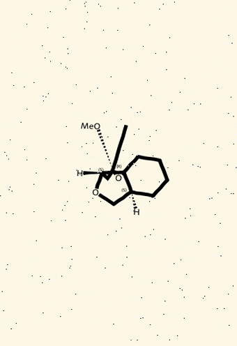 CO[C@@]1(C)C[C@@H]2OC[C@@H]3CCCCC32O1